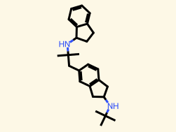 CC(C)(C)NC1Cc2ccc(CC(C)(C)NC3CCc4ccccc43)cc2C1